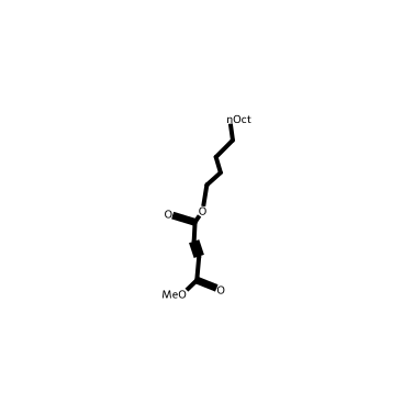 CCCCCCCCCCCCOC(=O)C#CC(=O)OC